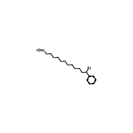 [CH2]CC(CCCCCCCCCCCCCCCCCCCCC)c1ccccc1